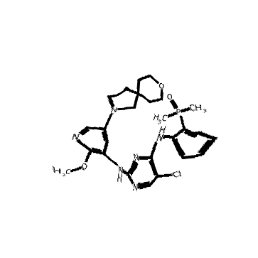 COc1ncc(N2CCC3(CCOCC3)C2)cc1Nc1ncc(Cl)c(Nc2ccccc2P(C)(C)=O)n1